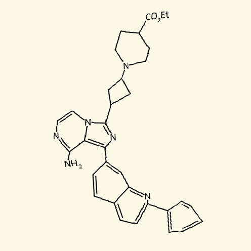 CCOC(=O)C1CCN(C2CC(c3nc(-c4ccc5ccc(-c6ccccc6)nc5c4)c4c(N)nccn34)C2)CC1